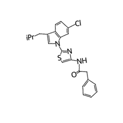 CC(C)Cc1cn(-c2nc(NC(=O)Cc3ccccc3)cs2)c2cc(Cl)ccc12